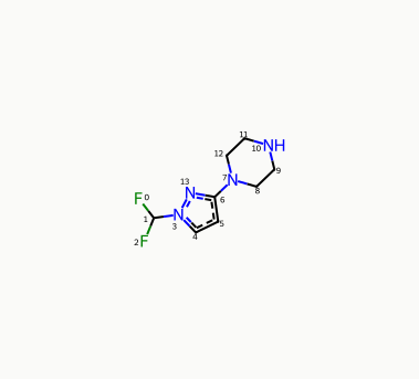 FC(F)n1ccc(N2CCNCC2)n1